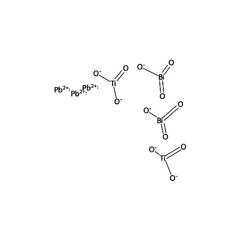 [O]=[Bi](=[O])[O-].[O]=[Bi](=[O])[O-].[O]=[Ti]([O-])[O-].[O]=[Ti]([O-])[O-].[Pb+2].[Pb+2].[Pb+2]